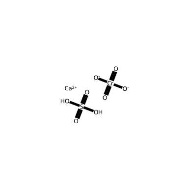 O=S(=O)(O)O.[Ca+2].[O]=[Cr](=[O])([O-])[O-]